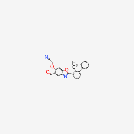 Cc1c(-c2ccccc2)cccc1-c1nc2cc(C=O)c(OCC#N)cc2o1